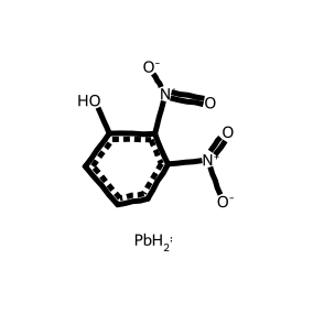 O=[N+]([O-])c1cccc(O)c1[N+](=O)[O-].[PbH2]